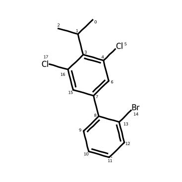 CC(C)c1c(Cl)cc(-c2cc[c]cc2Br)cc1Cl